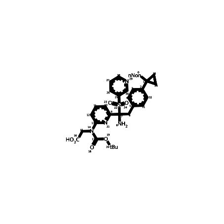 CCCCCCCCCC1(c2ccc(CC(N)(c3cccc(N(CC(=O)O)C(=O)OC(C)(C)C)n3)S(=O)(=O)c3cccnc3)cc2)CC1